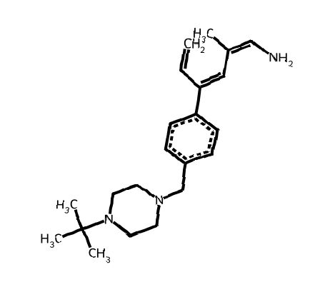 C=C/C(=C\C(C)=C/N)c1ccc(CN2CCN(C(C)(C)C)CC2)cc1